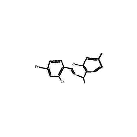 CCc1ccc(C=NC(C)c2ccc(C)cc2Cl)c(Cl)c1